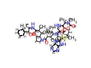 CC[C@H](C)C(C(CC(=O)N1CCCC1C(OC)C(C)C(=O)NC(C)C(O)c1ccccc1)OC)N(C)C(=O)[C@@H](NC(=O)C(C(C)C)N(C)C(=O)OCC(C)(C)SSc1nc2cncnc2[nH]1)C(C)C